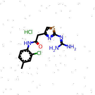 Cc1ccc(NC(=O)Cc2csc(N=C(N)N)n2)c(Cl)c1.Cl